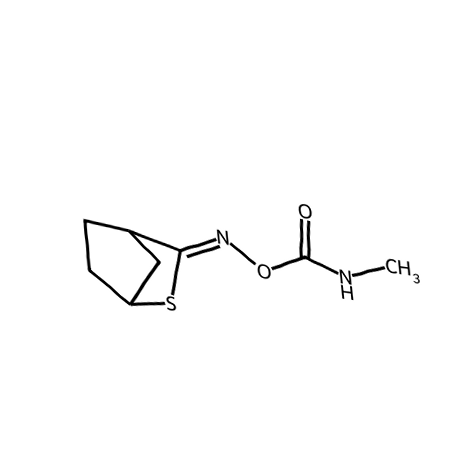 CNC(=O)ON=C1SC2CCC1C2